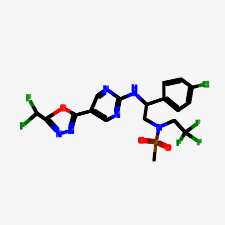 CS(=O)(=O)N(CC(Nc1ncc(-c2nnc(C(F)F)o2)cn1)c1ccc(Cl)cc1)CC(F)(F)F